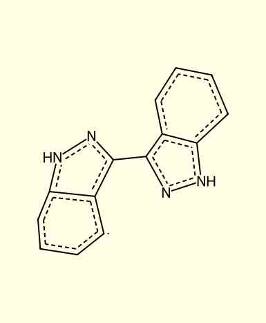 [c]1cccc2[nH]nc(-c3n[nH]c4ccccc34)c12